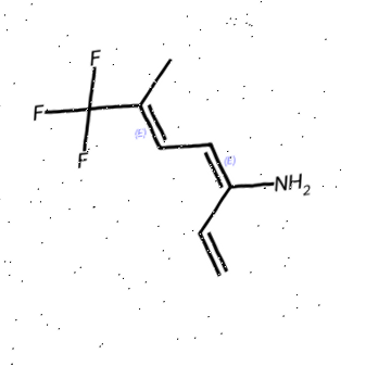 C=C/C(N)=C\C=C(/C)C(F)(F)F